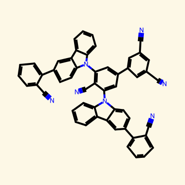 N#Cc1cc(C#N)cc(-c2cc(-n3c4ccccc4c4cc(-c5ccccc5C#N)ccc43)c(C#N)c(-n3c4ccccc4c4cc(-c5ccccc5C#N)ccc43)c2)c1